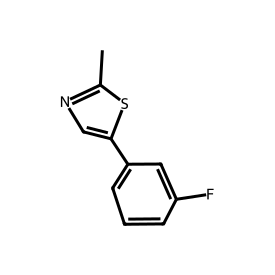 Cc1ncc(-c2cccc(F)c2)s1